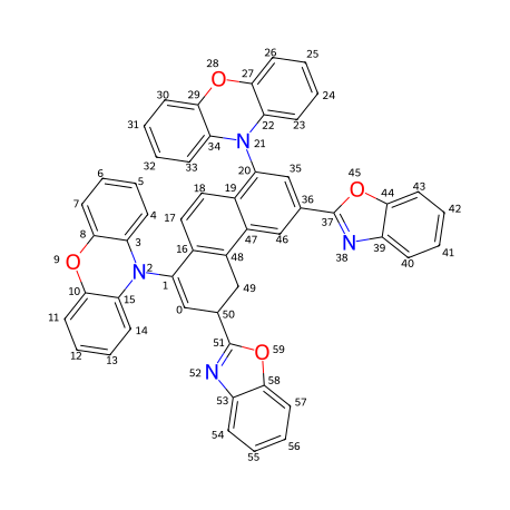 C1=C(N2c3ccccc3Oc3ccccc32)c2ccc3c(N4c5ccccc5Oc5ccccc54)cc(-c4nc5ccccc5o4)cc3c2CC1c1nc2ccccc2o1